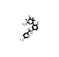 CN1C(=O)C(C)(C)[C@@](C)(c2cc(NC(=O)c3ccc(C(F)(F)F)cn3)ccc2F)N=C1N